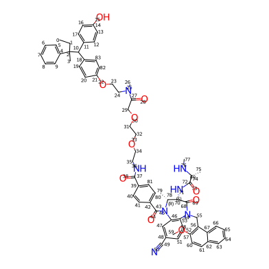 CCC(C)(c1ccccc1)C(c1ccc(O)cc1)c1ccc(OCCN(C)C(=O)COCCOCCNC(=O)c2ccc(C(=O)N3c4cc(C#N)ccc4N(Cc4c(OC)ccc5ccccc45)C(=O)[C@@H](NC(=O)[C@@H](C)NC)[C@H]3C)cc2)cc1